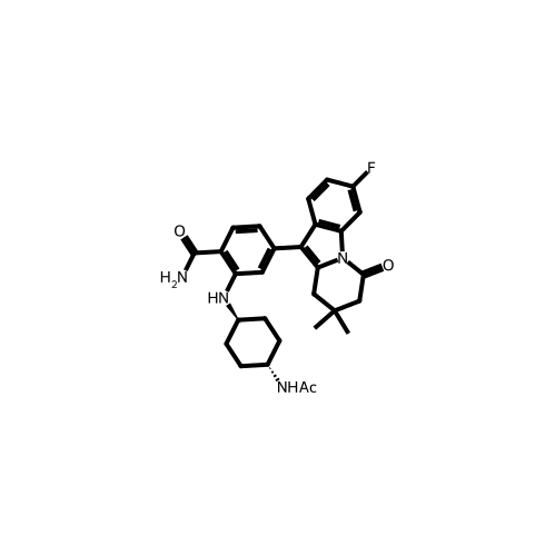 CC(=O)N[C@H]1CC[C@H](Nc2cc(-c3c4n(c5cc(F)ccc35)C(=O)CC(C)(C)C4)ccc2C(N)=O)CC1